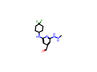 CNNc1cc(C=O)cc(NC2CCC(F)(F)CC2)n1